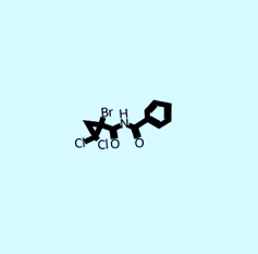 O=C(NC(=O)C1(Br)CC1(Cl)Cl)c1ccccc1